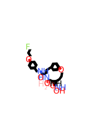 B[C@H]1C(=O)NC(C(=O)NCc2ccc(OCCCF)cc2)Cc2ccc(cc2)OCCC[C@@H]1C(=O)NO